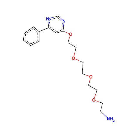 NCCOCCOCCOCCOc1cc(-c2ccccc2)ncn1